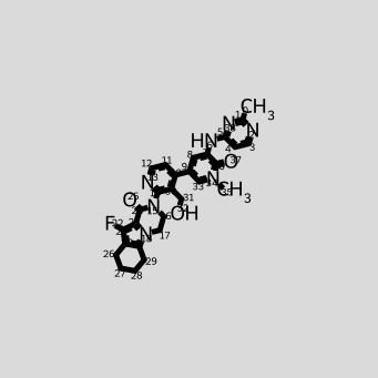 Cc1nccc(Nc2cc(-c3ccnc(N4CCn5c6c(c(F)c5C4=O)CCCC6)c3CO)cn(C)c2=O)n1